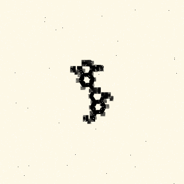 CCN(O)c1cc(NCc2cc(N)ccc2N)ccc1N